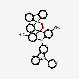 Cc1ccc2c(c1)C1(c3cc(C)ccc3N2c2ccc3c(c2)c2ncccc2n3-c2cccnc2)c2ccccc2[Si]2(c3ccccc3-c3ccccc32)c2ccccc21